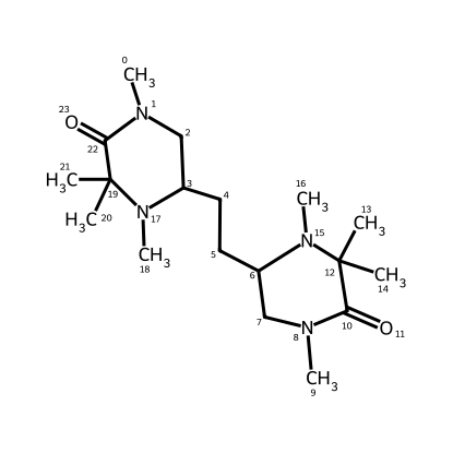 CN1CC(CCC2CN(C)C(=O)C(C)(C)N2C)N(C)C(C)(C)C1=O